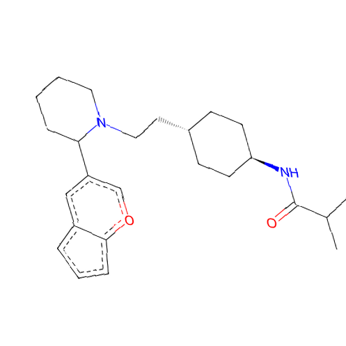 CC(C)C(=O)N[C@H]1CC[C@H](CCN2CCCCC2c2coc3cccc-3c2)CC1